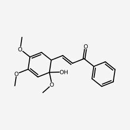 COC1=CC(C=CC(=O)c2ccccc2)C(O)(OC)C=C1OC